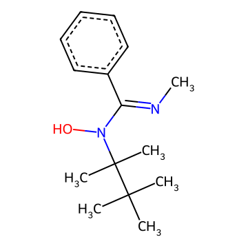 C/N=C(\c1ccccc1)N(O)C(C)(C)C(C)(C)C